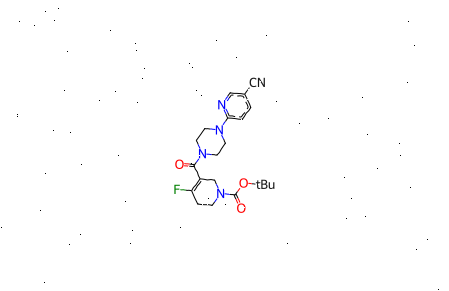 CC(C)(C)OC(=O)N1CCC(F)=C(C(=O)N2CCN(c3ccc(C#N)cn3)CC2)C1